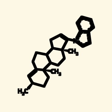 C[C@H]1C=C2CCC3C(CC[C@]4(C)C(n5ccc6ccccc65)=CCC34)[C@@]2(C)CC1